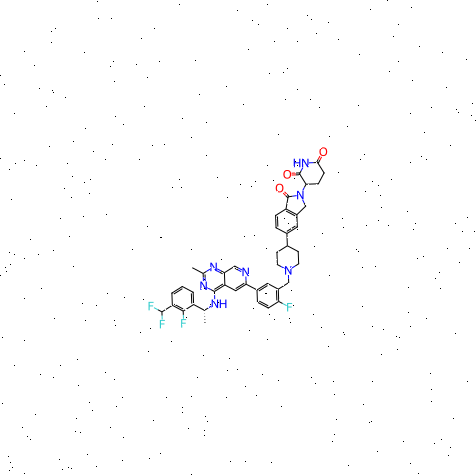 Cc1nc(N[C@H](C)c2cccc(C(F)F)c2F)c2cc(-c3ccc(F)c(CN4CCC(c5ccc6c(c5)CN(C5CCC(=O)NC5=O)C6=O)CC4)c3)ncc2n1